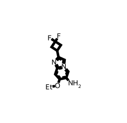 CCOc1cc2nc(C3CC(F)(F)C3)cn2cc1N